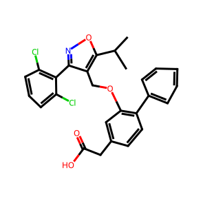 CC(C)c1onc(-c2c(Cl)cccc2Cl)c1COc1cc(CC(=O)O)ccc1-c1ccccc1